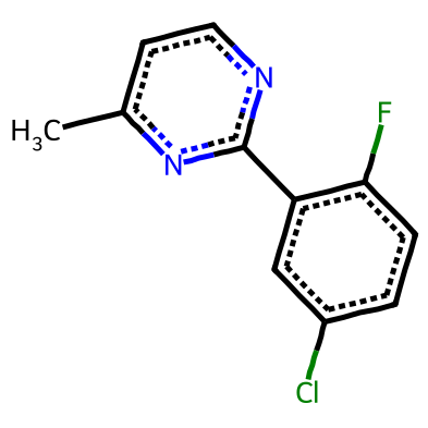 Cc1ccnc(-c2cc(Cl)ccc2F)n1